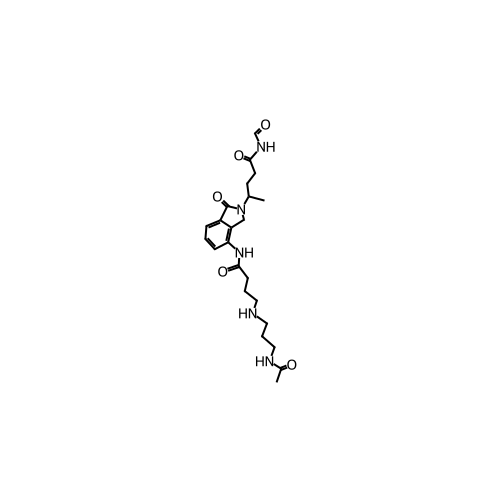 CC(=O)NCCCNCCCC(=O)Nc1cccc2c1CN(C(C)CCC(=O)NC=O)C2=O